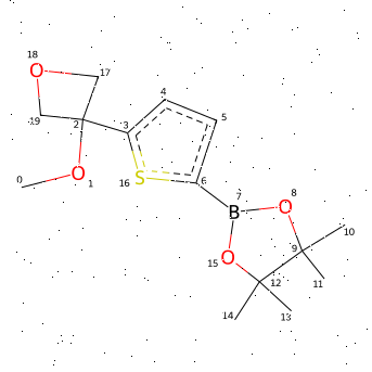 COC1(c2ccc(B3OC(C)(C)C(C)(C)O3)s2)COC1